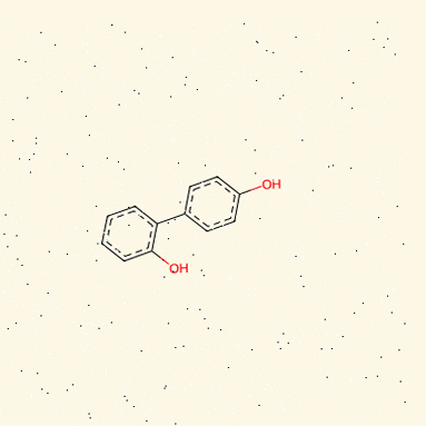 Oc1ccc(-c2cc[c]cc2O)cc1